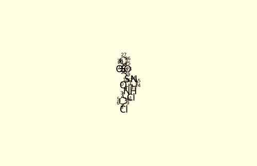 O=C(NCc1ccc(Cl)cc1Cl)c1cccnc1SCCS(=O)(=O)c1ccccc1